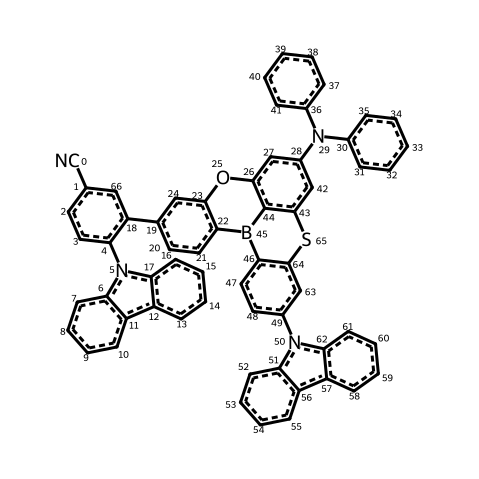 N#Cc1ccc(-n2c3ccccc3c3ccccc32)c(-c2ccc3c(c2)Oc2cc(N(c4ccccc4)c4ccccc4)cc4c2B3c2ccc(-n3c5ccccc5c5ccccc53)cc2S4)c1